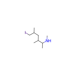 CNC(C)C(C)CC(C)CI